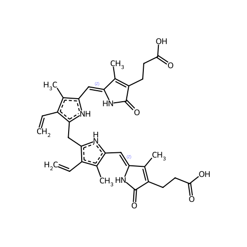 C=Cc1c(Cc2[nH]c(/C=C3\NC(=O)C(CCC(=O)O)=C3C)c(C)c2C=C)[nH]c(/C=C2\NC(=O)C(CCC(=O)O)=C2C)c1C